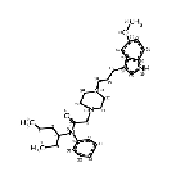 CCCC(CC)N(C(=O)CN1CCN(CCCc2c[nH]c3ccc(OC)cc23)CC1)c1ccccc1